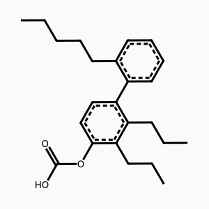 CCCCCc1ccccc1-c1ccc(OC(=O)O)c(CCC)c1CCC